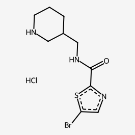 Cl.O=C(NCC1CCCNC1)c1ncc(Br)s1